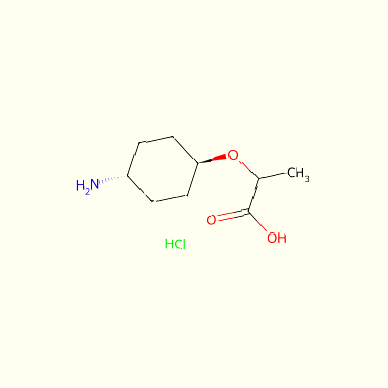 CC(O[C@H]1CC[C@H](N)CC1)C(=O)O.Cl